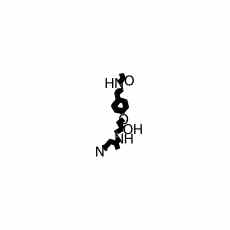 CC(=O)N/C=C/c1ccc(OCC(O)CNC(C)CC#N)cc1